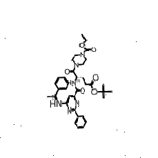 CCOC(=O)N1CCN(C(=O)[C@H](CCC(=O)OC(C)(C)C)NC(=O)c2cc(N[C@@H](C)c3ccccc3)nc(-c3ccccc3)n2)CC1